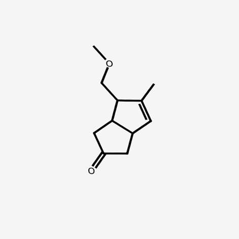 COCC1C(C)=CC2CC(=O)CC21